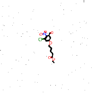 CCOC(=O)CCCCOc1cc(Cl)c([N+](=O)[O-])c(C=O)c1